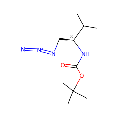 CC(C)[C@H](CN=[N+]=[N-])NC(=O)OC(C)(C)C